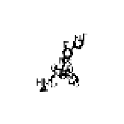 O=C(CNC(=O)C(c1nc2cc(F)c(-c3ccc(F)nc3)cc2s1)S(=O)(=O)N1CCOCC1)NC1CC1